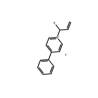 C=CC(F)[n+]1ccc(-c2ccccc2)cc1.[I-]